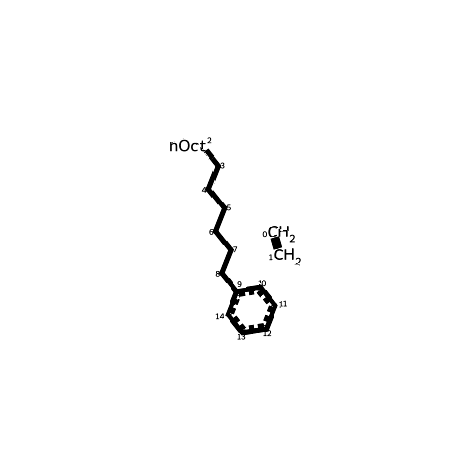 C=C.CCCCCCCCCCCCCCc1ccccc1